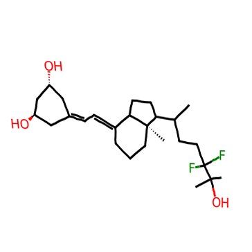 CC(CCC(F)(F)C(C)(C)O)C1CCC2/C(=C/C=C3C[C@@H](O)C[C@H](O)C3)CCC[C@@]21C